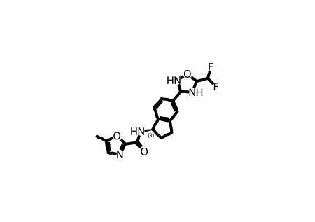 Cc1cnc(C(=O)N[C@@H]2CCc3cc(C4NOC(C(F)F)N4)ccc32)o1